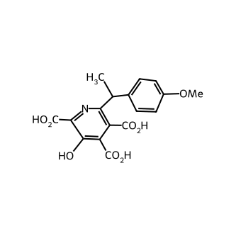 COc1ccc(C(C)c2nc(C(=O)O)c(O)c(C(=O)O)c2C(=O)O)cc1